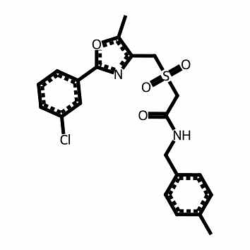 Cc1ccc(CNC(=O)CS(=O)(=O)Cc2nc(-c3cccc(Cl)c3)oc2C)cc1